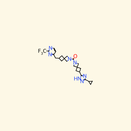 O=C(N1CC2(CC(Cc3ccnc(C(F)(F)F)n3)C2)C1)N1CC2(CC(c3nc(C4CC4)n[nH]3)C2)C1